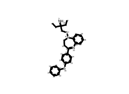 CCC(N)(CC)CSN1CCC(c2ccc(Sc3ccccc3)cc2)=Nc2ccccc21